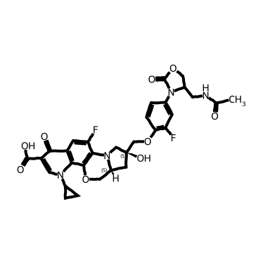 CC(=O)NCC1COC(=O)N1c1ccc(OC[C@]2(O)C[C@H]3COc4c(c(F)cc5c(=O)c(C(=O)O)cn(C6CC6)c45)N3C2)c(F)c1